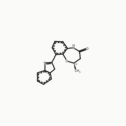 C[C@@H]1CC(=O)Nc2cccc(C3=Nc4ccccc4C3)c2O1